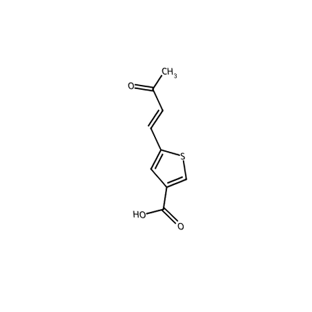 CC(=O)C=Cc1cc(C(=O)O)cs1